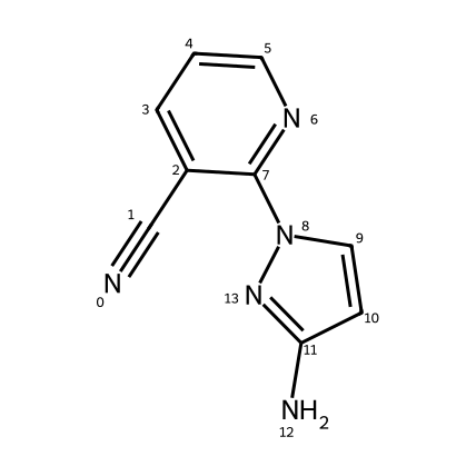 N#Cc1cccnc1-n1ccc(N)n1